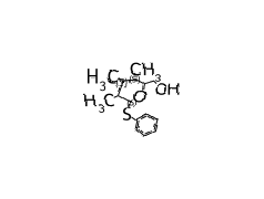 CC1[C@@H](C)[C@H](C)C(CO)O[C@H]1Sc1ccccc1